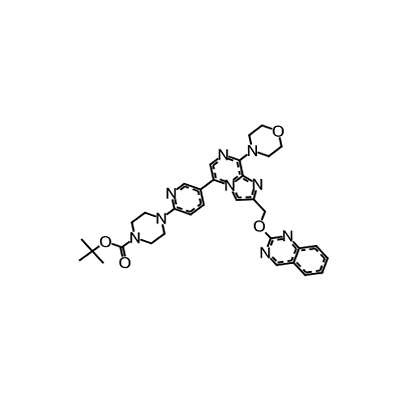 CC(C)(C)OC(=O)N1CCN(c2ccc(-c3cnc(N4CCOCC4)c4nc(COc5ncc6ccccc6n5)cn34)cn2)CC1